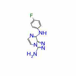 Nc1nnc2c(Nc3ccc(F)cc3)nccn12